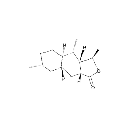 C[C@@H]1CC[C@@H]2[C@@H](C1)C[C@H]1C(=O)O[C@H](C)[C@H]1[C@H]2C